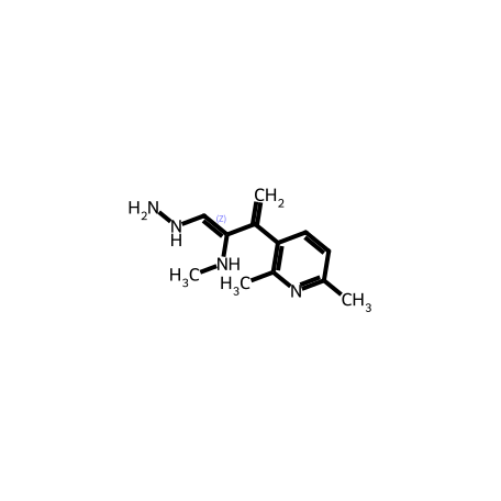 C=C(/C(=C/NN)NC)c1ccc(C)nc1C